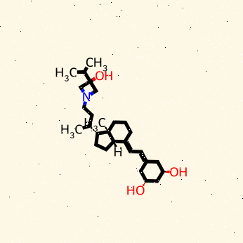 CC(CCN1CC(O)(C(C)C)C1)[C@H]1CC[C@H]2C(=CC=C3C[C@@H](O)C[C@H](O)C3)CCC[C@]12C